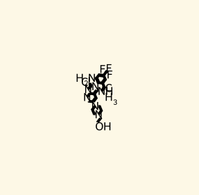 C[C@@H](Nc1nc(Cl)nc2ncc(N3CCN(CCO)CC3)cc12)c1cc(N)cc(C(F)(F)F)c1